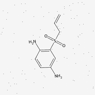 C=CCS(=O)(=O)c1cc(N)ccc1N